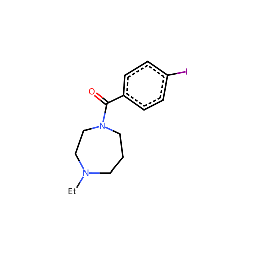 CCN1CCCN(C(=O)c2ccc(I)cc2)CC1